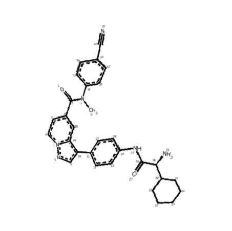 CN(C(=O)c1ccn2ncc(-c3ccc(NC(=O)[C@@H](N)C4CCCCC4)cc3)c2c1)c1ccc(C#N)cc1